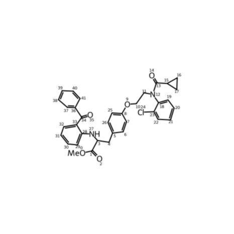 COC(=O)C(Cc1ccc(OCCN(C(=O)C2CC2)c2ccccc2Cl)cc1)Nc1ccccc1C(=O)c1ccccc1